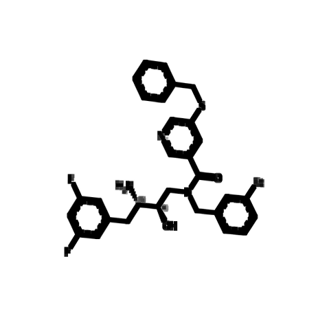 CCc1cccc(CN(C[C@@H](O)[C@@H](N)Cc2cc(F)cc(F)c2)C(=O)c2cncc(SCc3ccccc3)c2)c1